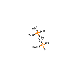 CCCCCCCC[PH](CC)(CC)CC.CCCCCCCC[P](CCCC)(CCCC)CCCC